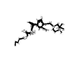 CCCCOC(=O)NC(C)c1ccc(CN2CCN(C)C(C)(C)C2)c(F)c1